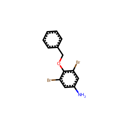 Nc1cc(Br)c(OCc2ccccc2)c(Br)c1